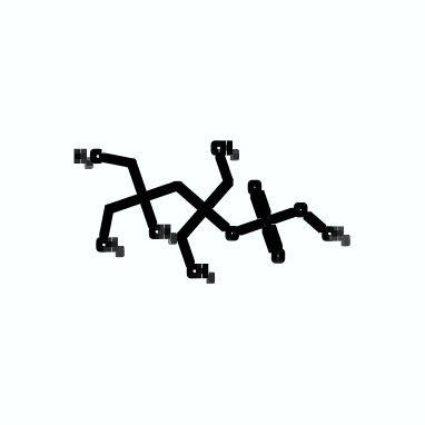 CCC(C)(CC)CC(CC)(CC)OS(=O)(=O)OC